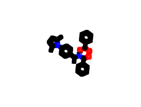 Cc1ccc(C)n1-c1ccc(C(C)N(OC(=O)c2ccccc2)C(=O)c2ccccc2)cc1